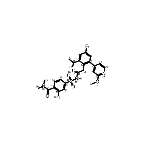 COc1cc(-c2cc(F)cc(C(C)C)c2CC(=O)NS(=O)(=O)c2ccc(C(=O)N(C)C)c(Cl)c2)ccn1